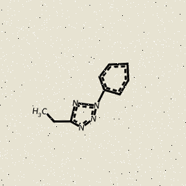 CCc1nnn(-c2ccccc2)n1